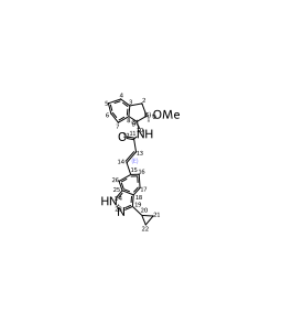 CO[C@H]1Cc2ccccc2[C@@H]1NC(=O)/C=C/c1ccc2c(C3CC3)n[nH]c2c1